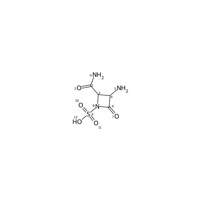 NC(=O)C1C(N)C(=O)N1S(=O)(=O)O